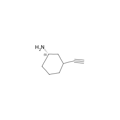 C#CC1CCC[C@H](N)C1